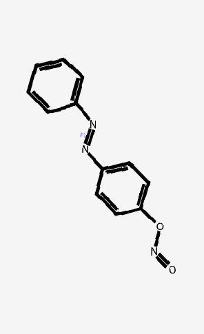 O=NOc1ccc(/N=N/c2ccccc2)cc1